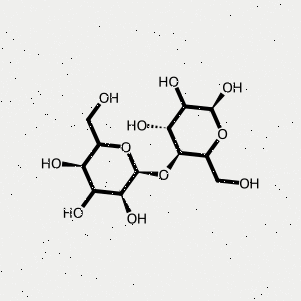 OCC1O[C@@H](O[C@@H]2C(CO)O[C@H](O)C(O)[C@H]2O)[C@@H](O)C(O)[C@H]1O